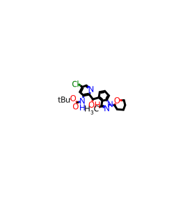 Cc1nn(C2CCCCO2)c2cccc(C(O)c3ncc(Cl)cc3NC(=O)OC(C)(C)C)c12